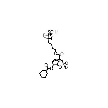 O=C(OC1C2CC3C1OS(=O)(=O)C3C2C(=O)OCCCCC(F)(F)C(F)(F)S(=O)(=O)O)C1CCCCC1